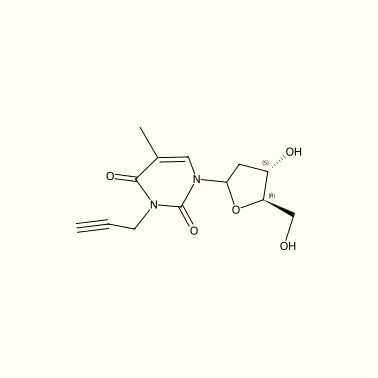 C#CCn1c(=O)c(C)cn(C2C[C@H](O)[C@@H](CO)O2)c1=O